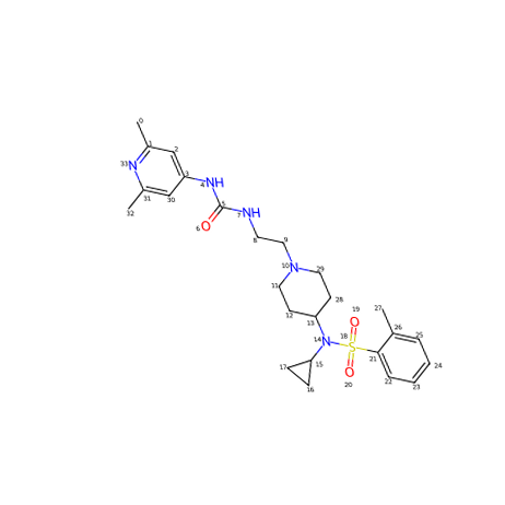 Cc1cc(NC(=O)NCCN2CCC(N(C3CC3)S(=O)(=O)c3ccccc3C)CC2)cc(C)n1